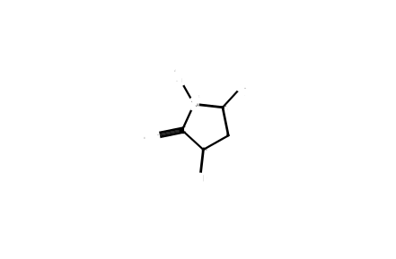 CC(C)(C)C1CC(S)N(C(C)(C)C)C1=O